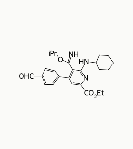 CCOC(=O)c1cc(-c2ccc(C=O)cc2)c(C(=N)OC(C)C)c(NC2CCCCC2)n1